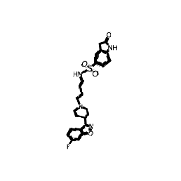 O=C1Cc2cc(S(=O)(=O)NCCCCN3CCC(c4noc5cc(F)ccc45)CC3)ccc2N1